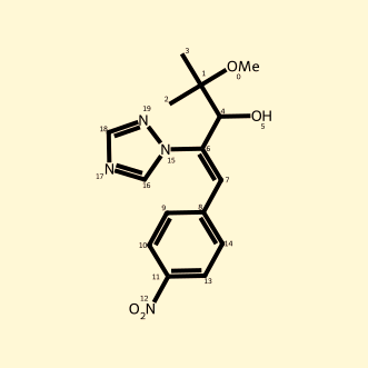 COC(C)(C)C(O)/C(=C/c1ccc([N+](=O)[O-])cc1)n1cncn1